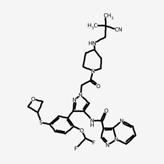 CC(C)(C#N)CNC1CCN(C(=O)Cn2cc(NC(=O)c3cnn4cccnc34)c(-c3cc(SC4COC4)ccc3OC(F)F)n2)CC1